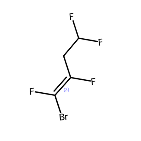 F/C(Br)=C(/F)CC(F)F